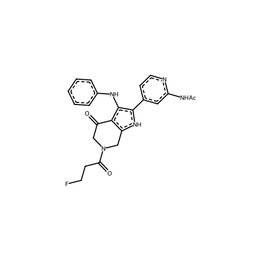 CC(=O)Nc1cc(-c2[nH]c3c(c2Nc2ccccc2)C(=O)CN(C(=O)CCF)C3)ccn1